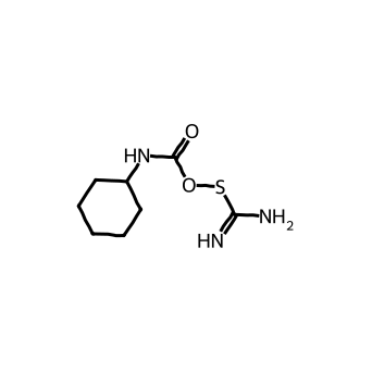 N=C(N)SOC(=O)NC1CCCCC1